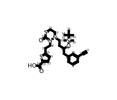 C#Cc1cccc(CC(CCN2CCSC(=O)N2CCc2ccc(C(=O)O)s2)O[Si](C)(C)C(C)(C)C)c1